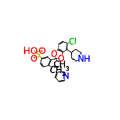 Cc1ccc(S(=O)(=O)O)cc1C1(C)Oc2ccc(Cl)c(C3CCNCC3)c2O1.c1ccncc1